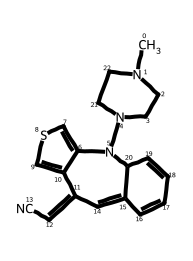 CN1CCN(N2c3cscc3/C(=C\C#N)C=C3C=CC=CC32)CC1